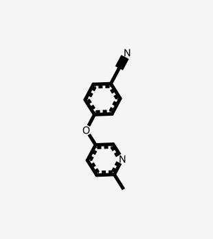 Cc1ccc(Oc2ccc(C#N)cc2)cn1